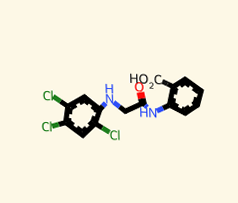 O=C(CNc1cc(Cl)c(Cl)cc1Cl)Nc1ccccc1C(=O)O